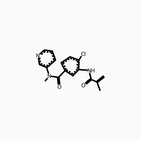 C=C(C)C(=O)Nc1cc(C(=O)N(C)c2cccnc2)ccc1Cl